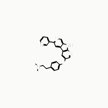 CN(C)CCc1ccc(Oc2cnc3[nH]c4cnc(-c5cccnc5)cc4c3c2)cc1